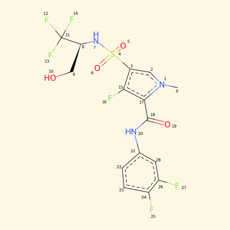 Cn1cc(S(=O)(=O)N[C@@H](CO)C(F)(F)F)c(F)c1C(=O)Nc1ccc(F)c(F)c1